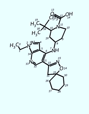 CCn1ncc2c(NC3CCN(C(=O)O)C(C(C)(C)C)C3)c(C3=NOC4(CCCCC4)C3)cnc21